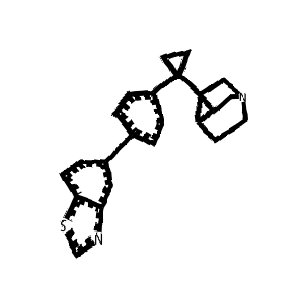 c1nc2cc(-c3ccc(C4(C5CN6CCC5CC6)CC4)cc3)ccc2s1